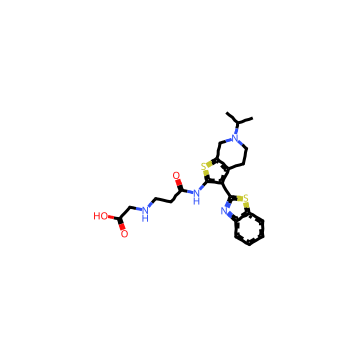 CC(C)N1CCc2c(sc(NC(=O)CCNCC(=O)O)c2-c2nc3ccccc3s2)C1